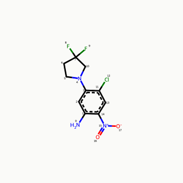 Nc1cc(N2CCC(F)(F)C2)c(Cl)cc1[N+](=O)[O-]